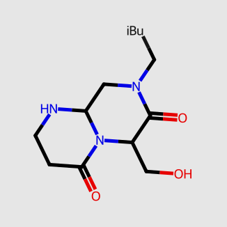 CCC(C)CN1CC2NCCC(=O)N2C(CO)C1=O